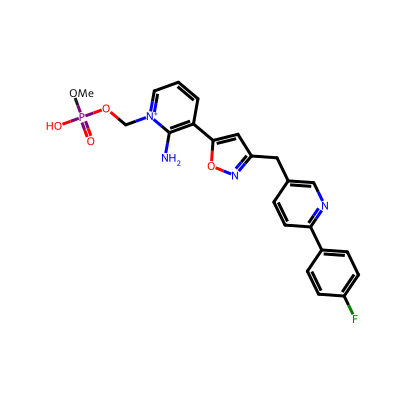 COP(=O)(O)OC[n+]1cccc(-c2cc(Cc3ccc(-c4ccc(F)cc4)nc3)no2)c1N